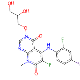 Cn1c(=O)c(F)c(Nc2ccc(I)cc2F)c2c(=O)n(OCC(O)CO)cnc21